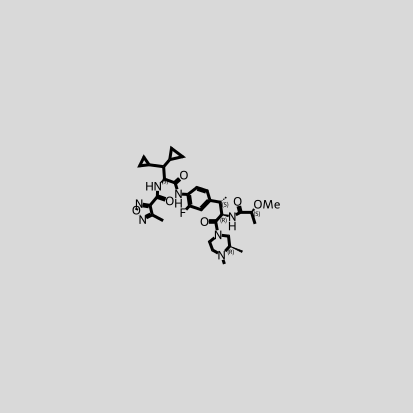 CO[C@@H](C)C(=O)N[C@@H](C(=O)N1CCN(C)[C@H](C)C1)[C@@H](C)c1ccc(NC(=O)[C@@H](NC(=O)c2nonc2C)C(C2CC2)C2CC2)c(F)c1